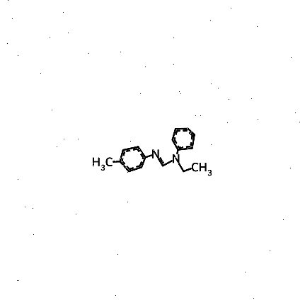 CCN(C=Nc1ccc(C)cc1)c1ccccc1